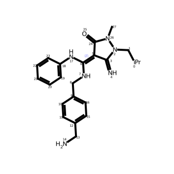 CC(C)CN1C(=N)/C(=C(\NCc2ccc(CN)cc2)Nc2ccccc2)C(=O)N1C